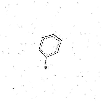 [C-]#[N+]c1c[c]ccc1